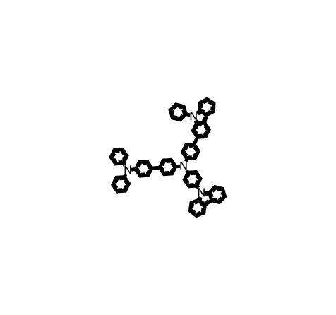 c1ccc(N(c2ccccc2)c2ccc(-c3ccc(N(c4ccc(-c5ccc6c7ccccc7n(-c7ccccc7)c6c5)cc4)c4ccc(-n5c6ccccc6c6ccccc65)cc4)cc3)cc2)cc1